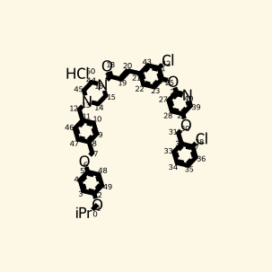 CC(C)Oc1ccc(OCc2ccc(CN3CCN(C(=O)C=Cc4ccc(Oc5ccc(OCc6ccccc6Cl)cn5)c(Cl)c4)CC3)cc2)cc1.Cl